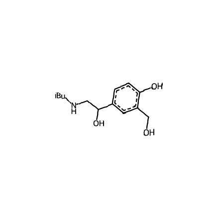 CCC(C)NCC(O)c1ccc(O)c(CO)c1